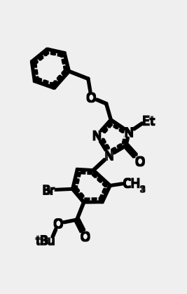 CCn1c(COCc2ccccc2)nn(-c2cc(Br)c(C(=O)OC(C)(C)C)cc2C)c1=O